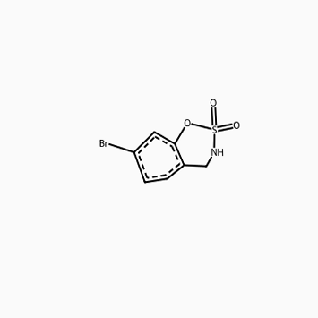 O=S1(=O)NCc2ccc(Br)cc2O1